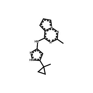 Cc1nc(Nc2cc(C3(C)CC3)[nH]n2)c2cccn2n1